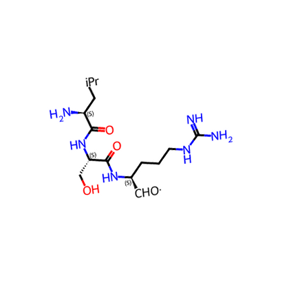 CC(C)C[C@H](N)C(=O)N[C@@H](CO)C(=O)N[C@H]([C]=O)CCCNC(=N)N